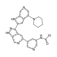 CCC(=O)Nc1cncc(-c2cc3c(-c4cc5c(N6CCCCC6)cncc5[nH]4)n[nH]c3cn2)c1